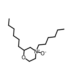 CCCCCCC1C[N+]([O-])(CCCCCC)CCO1